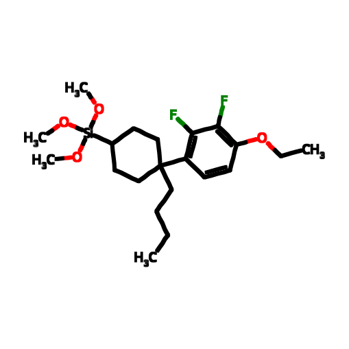 CCCCC1(c2ccc(OCC)c(F)c2F)CCC([Si](OC)(OC)OC)CC1